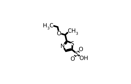 CCOC(C)c1ncc(S(=O)(=O)O)s1